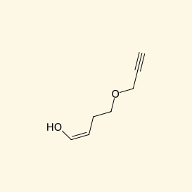 C#CCOCC/C=C\O